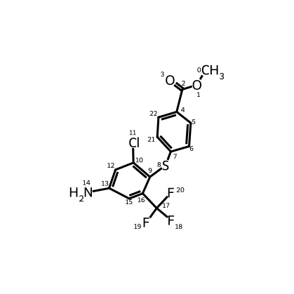 COC(=O)c1ccc(Sc2c(Cl)cc(N)cc2C(F)(F)F)cc1